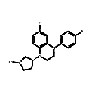 CC(C)N1CC[C@H](N2CCN(c3ccc(F)cc3)c3cc(F)ccc32)C1